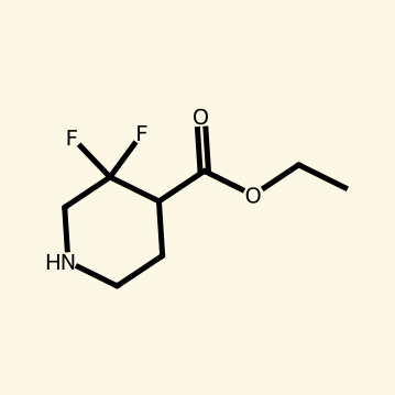 CCOC(=O)C1CCNCC1(F)F